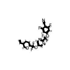 C=CC1CCC(C(F)(F)Oc2cnc(C(F)(F)Oc3cc(F)c(C#N)c(F)c3)nc2)OC1